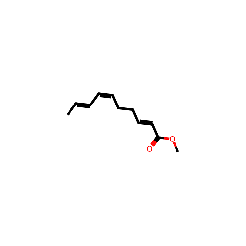 C/C=C/C=C\CC/C=C/C(=O)OC